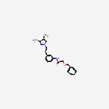 CC1CN(CCc2cccc(NC(=O)COCc3ccccc3)c2)CC1C